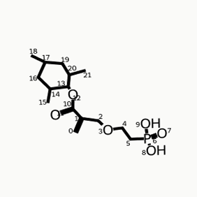 C=C(COCCP(=O)(O)O)C(=O)OC1C(C)CC(C)CC1C